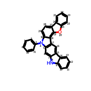 c1ccc(-n2c3cc4[nH]c5ccccc5c4cc3c3c4oc5ccccc5c4ccc32)cc1